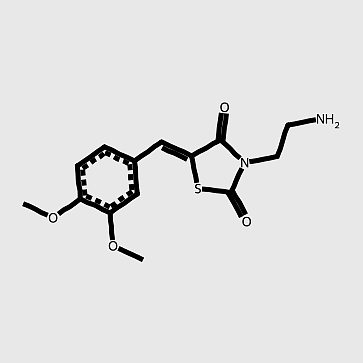 COc1ccc(/C=C2\SC(=O)N(CCN)C2=O)cc1OC